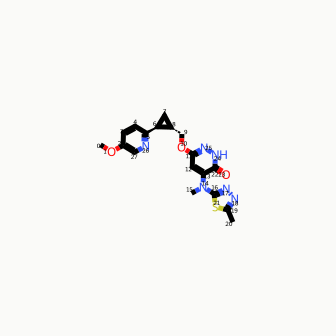 COc1ccc([C@H]2C[C@@H]2COc2cc(N(C)c3nnc(C)s3)c(=O)[nH]n2)nc1